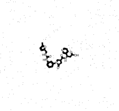 Cc1ccc(CNC(=O)Nc2cccc(N3CC(C(=O)NC(CC(=O)O)c4cccnc4)CC3=O)c2)o1